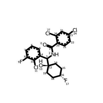 O=C(NC(c1cccc(F)c1Cl)[C@]1(O)CC[C@H](F)CC1)c1ccc(Cl)cc1Cl